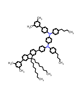 CCCCCCCCC1(CCCCCCCC)c2cc(-c3ccc(N(c4ccc(CCCC)cc4)c4ccc(N(c5ccc(CCCC)cc5)c5ccc(-c6cc(C)cc(C)c6)cc5)cc4)cc3)ccc2-c2ccc(-c3cc(C)cc(C)c3)cc21